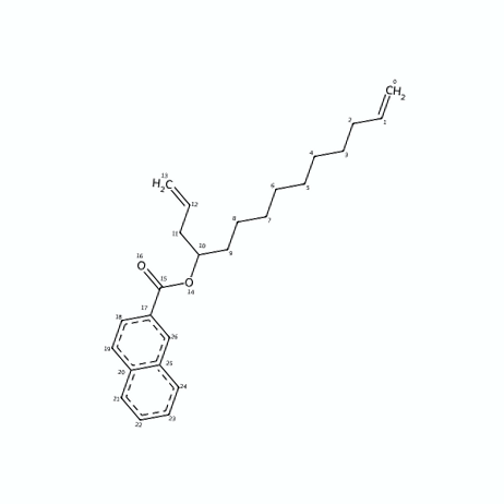 C=CCCCCCCCCC(CC=C)OC(=O)c1ccc2ccccc2c1